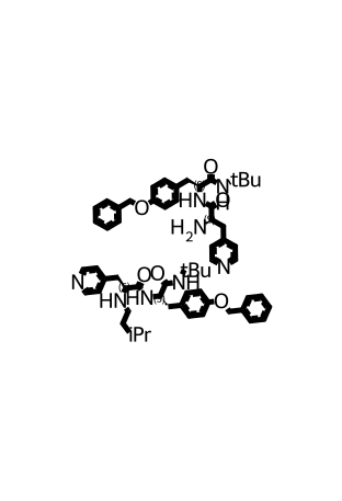 CC(C)(C)NC(=O)[C@H](Cc1ccc(OCc2ccccc2)cc1)NC(=O)[C@@H](N)Cc1ccncc1.CC(C)CCN[C@@H](Cc1ccncc1)C(=O)N[C@@H](Cc1ccc(OCc2ccccc2)cc1)C(=O)NC(C)(C)C